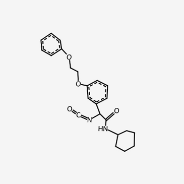 O=C=NC(C(=O)NC1CCCCC1)c1cccc(OCCOc2ccccc2)c1